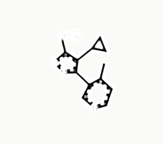 CCOC(=O)c1snc(-c2cnccc2C)c1C1CC1